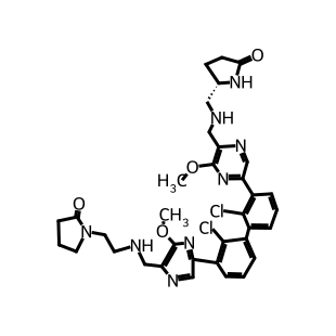 COc1nc(-c2cccc(-c3cccc(-c4cnc(CNC[C@@H]5CCC(=O)N5)c(OC)n4)c3Cl)c2Cl)cnc1CNCCN1CCCC1=O